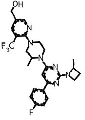 CC1CN(c2ncc(CO)cc2C(F)(F)F)CCN1c1cc(-c2ccc(F)cc2)nc(N2CCC2C)n1